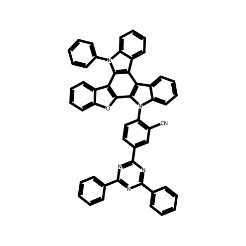 N#Cc1cc(-c2nc(-c3ccccc3)nc(-c3ccccc3)n2)ccc1-n1c2ccccc2c2c3c4ccccc4n(-c4ccccc4)c3c3c4ccccc4oc3c21